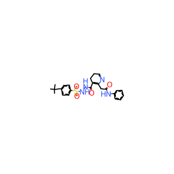 CC(C)(C)c1ccc(S(=O)(=O)NNC(=O)C2=C(CC(=O)Nc3ccccc3)N=CCC2)cc1